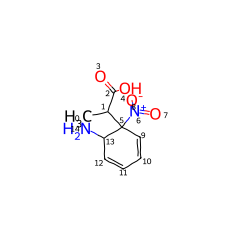 CC(C(=O)O)C1([N+](=O)[O-])C=CC=CC1N